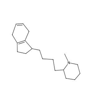 CN1CCCCC1CCCCC1CCC2=C1CC=CC2